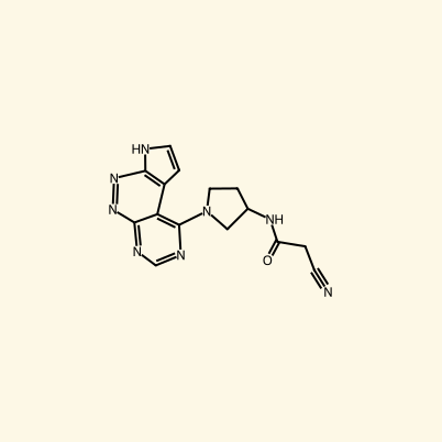 N#CCC(=O)NC1CCN(c2ncnc3nnc4[nH]ccc4c23)C1